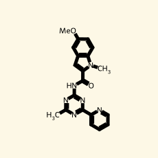 COc1ccc2c(c1)cc(C(=O)Nc1nc(C)nc(-c3ccccn3)n1)n2C